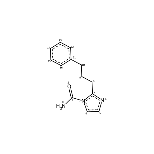 NC(=O)n1ccnc1CCCc1ccccc1